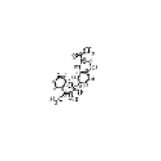 CCN([C@@H](C)c1ccccc1)S(=O)(=O)c1ccc2c(c1)CN(C(=O)C(F)(F)F)CC2